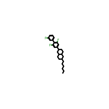 CCCCCCC1CCC2CC(c3cc(F)c(-c4cccc(F)c4)c(F)c3)CCC2C1